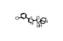 O=C(N[C@H]1CN2CCC1CC2)c1ncc(-c2cccc(Cl)c2)s1